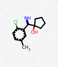 Cc1ccc(Cl)c(C(=N)C2(O)CCCC2)c1